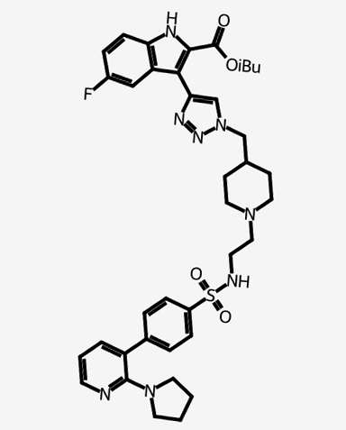 CC(C)COC(=O)c1[nH]c2ccc(F)cc2c1-c1cn(CC2CCN(CCNS(=O)(=O)c3ccc(-c4cccnc4N4CCCC4)cc3)CC2)nn1